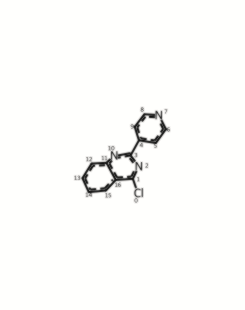 Clc1nc(-c2ccncc2)nc2ccccc12